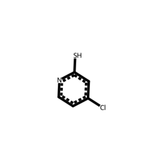 Sc1cc(Cl)ccn1